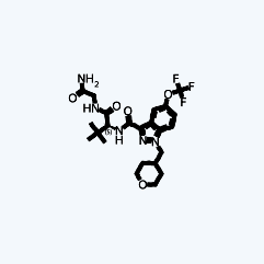 CC(C)(C)[C@H](NC(=O)c1nn(CC2CCOCC2)c2ccc(OC(F)(F)F)cc12)C(=O)NCC(N)=O